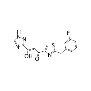 O=C(C=C(O)c1nc[nH]n1)c1csc(Cc2cccc(F)c2)n1